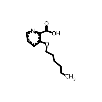 CCCCCCOc1cccnc1C(=O)O